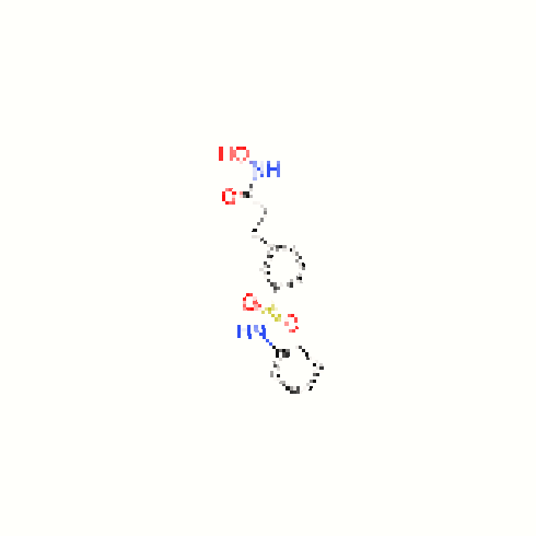 O=C(CCc1cccc(S(=O)(=O)Nc2ccccc2)c1)NO